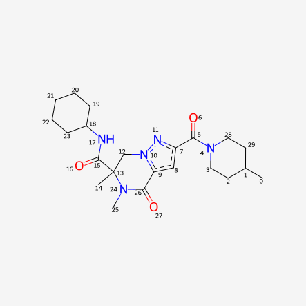 CC1CCN(C(=O)c2cc3n(n2)CC(C)(C(=O)NC2CCCCC2)N(C)C3=O)CC1